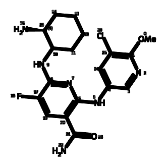 COc1ncc(Nc2nc(NC3CCCC[C@@H]3N)c(F)cc2C(N)=O)cc1Cl